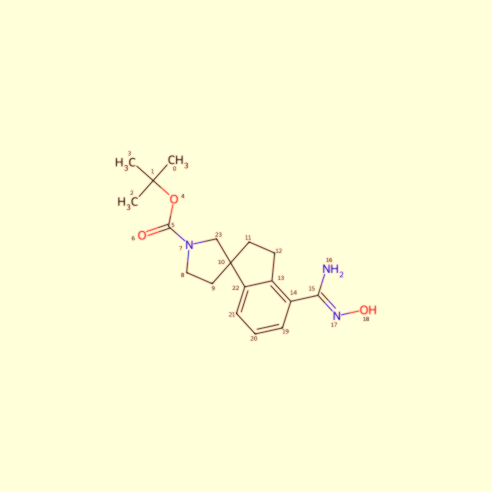 CC(C)(C)OC(=O)N1CCC2(CCc3c(/C(N)=N/O)cccc32)C1